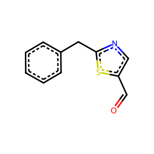 O=Cc1cnc(Cc2ccccc2)s1